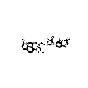 O=C1CSc2ccc(N3C[C@H](CCN(CCO)C[C@H]4Cn5c(=O)ccc6ccc(F)c4c65)OC3=O)cc2N1